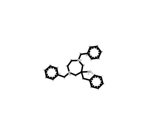 O=[N+]([O-])C1(Cc2ccccc2)CN(Cc2ccccc2)CCN(Cc2ccccc2)C1